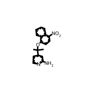 CC(C)(Oc1ccc([N+](=O)[O-])c2ccccc12)c1ccnc(N)c1